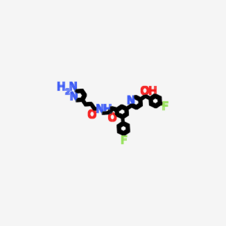 Nc1ccc(C=CC(=O)NCc2cc3cc(-c4ccc(C(O)c5ccc(F)cc5)cn4)cc(-c4ccc(F)cc4)c3o2)cn1